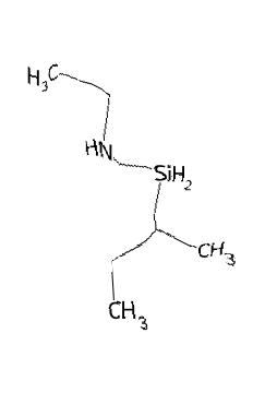 CCN[SiH2]C(C)CC